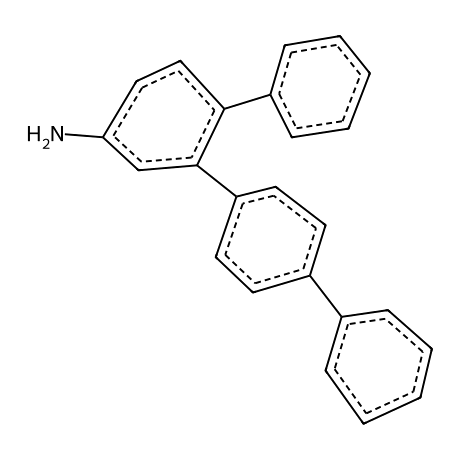 Nc1ccc(-c2ccccc2)c(-c2ccc(-c3ccccc3)cc2)c1